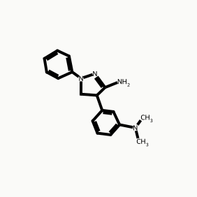 CN(C)c1cccc(C2CN(c3ccccc3)N=C2N)c1